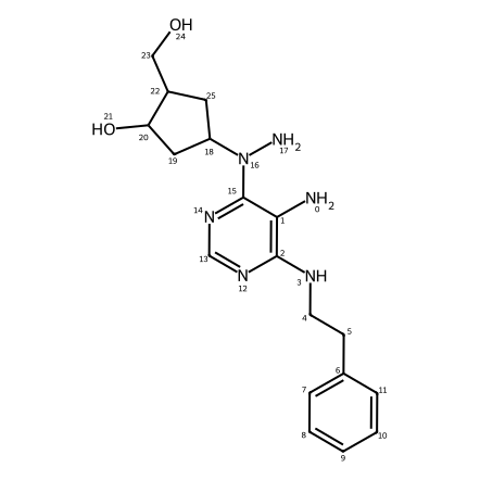 Nc1c(NCCc2ccccc2)ncnc1N(N)C1CC(O)C(CO)C1